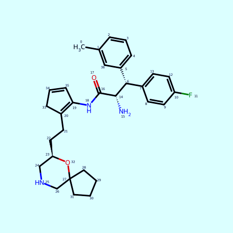 Cc1cccc([C@H](c2ccc(F)cc2)[C@H](N)C(=O)NC2=C(CC[C@@H]3CNCC4(CCCC4)O3)CC=C2)c1